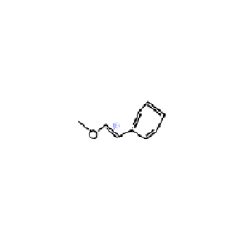 CO/C=C/c1ccccc1